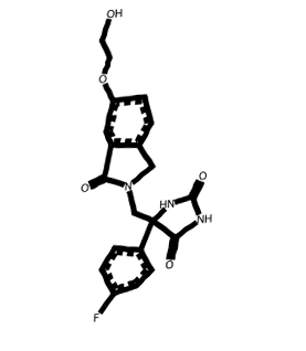 O=C1NC(=O)C(CN2Cc3ccc(OCCO)cc3C2=O)(c2ccc(F)cc2)N1